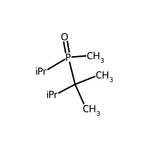 CC(C)C(C)(C)P(C)(=O)C(C)C